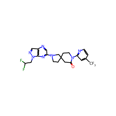 O=C1CC2(CCN(c3cnc4cnn(CC(F)F)c4n3)C2)CCN1c1cc(C(F)(F)F)ccn1